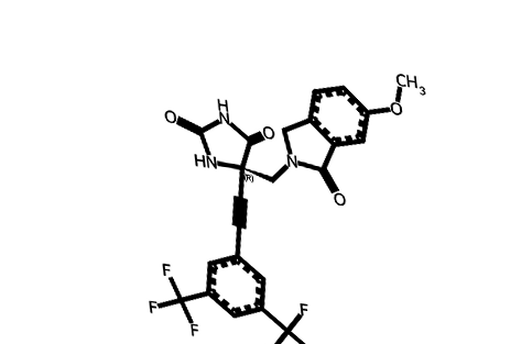 COc1ccc2c(c1)C(=O)N(C[C@@]1(C#Cc3cc(C(F)(F)F)cc(C(F)(F)F)c3)NC(=O)NC1=O)C2